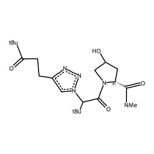 CNC(=O)[C@H]1CC(O)CN1C(=O)C(n1cc(CCC(=O)C(C)(C)C)nn1)C(C)(C)C